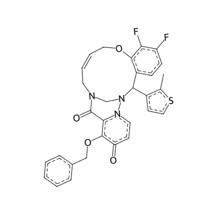 Cc1sccc1C1c2ccc(F)c(F)c2OC/C=C\CN2CN1n1ccc(=O)c(OCc3ccccc3)c1C2=O